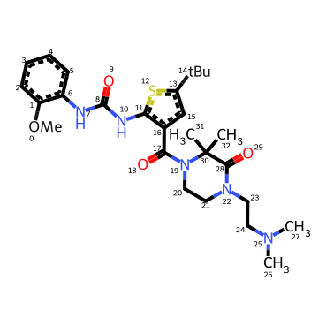 COc1ccccc1NC(=O)Nc1sc(C(C)(C)C)cc1C(=O)N1CCN(CCN(C)C)C(=O)C1(C)C